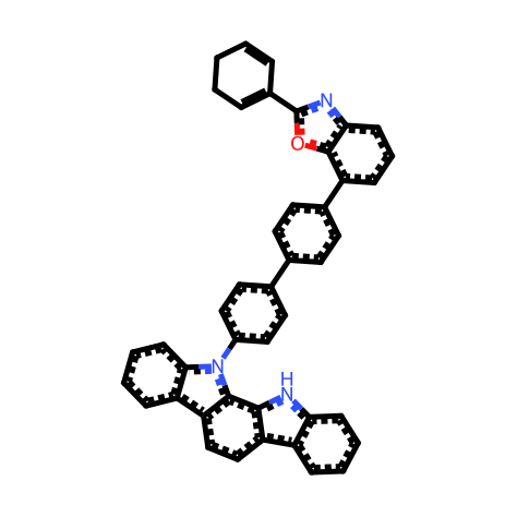 C1=CC(c2nc3cccc(-c4ccc(-c5ccc(-n6c7ccccc7c7ccc8c9ccccc9[nH]c8c76)cc5)cc4)c3o2)=CCC1